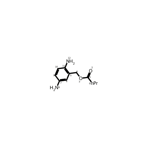 CCCC(=O)OCc1cc(N)ccc1N